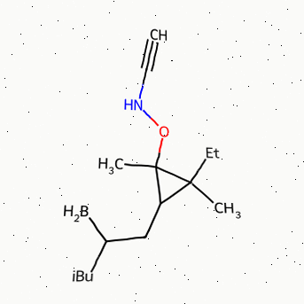 BC(CC1C(C)(CC)C1(C)ONC#C)C(C)CC